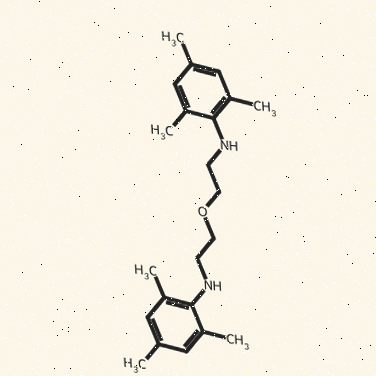 Cc1cc(C)c(NCCOCCNc2c(C)cc(C)cc2C)c(C)c1